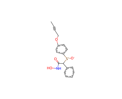 CC#CCOc1ccc([S+]([O-])C(C(=O)NO)c2ccccc2)cc1